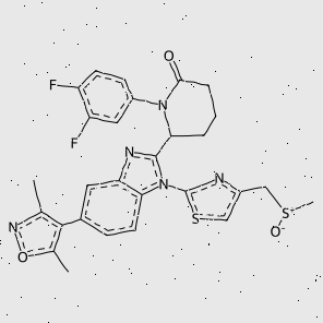 Cc1noc(C)c1-c1ccc2c(c1)nc(C1CCCC(=O)N1c1ccc(F)c(F)c1)n2-c1nc(C[S+](C)[O-])cs1